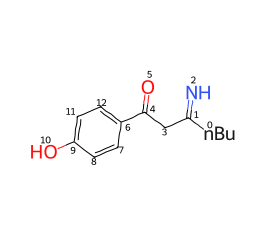 CCCCC(=N)CC(=O)c1ccc(O)cc1